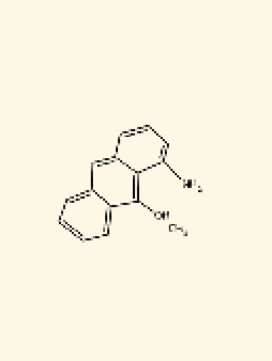 C.Nc1cccc2cc3ccccc3c(O)c12